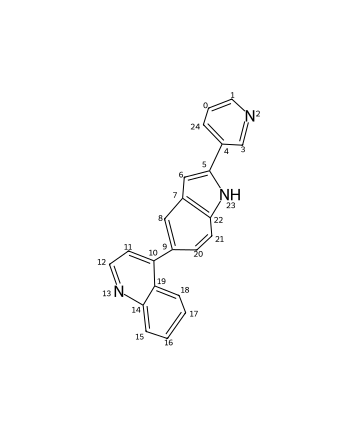 c1cncc(-c2cc3cc(-c4ccnc5ccccc45)ccc3[nH]2)c1